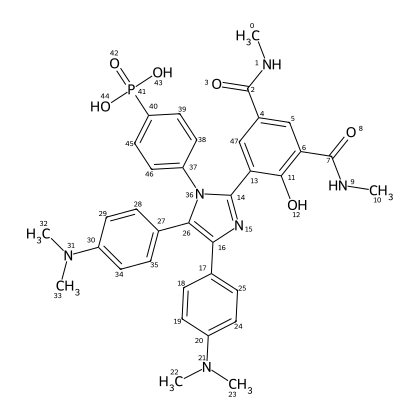 CNC(=O)c1cc(C(=O)NC)c(O)c(-c2nc(-c3ccc(N(C)C)cc3)c(-c3ccc(N(C)C)cc3)n2-c2ccc(P(=O)(O)O)cc2)c1